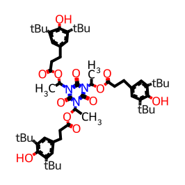 CC(OC(=O)CCc1cc(C(C)(C)C)c(O)c(C(C)(C)C)c1)n1c(=O)n(C(C)OC(=O)CCc2cc(C(C)(C)C)c(O)c(C(C)(C)C)c2)c(=O)n(C(C)OC(=O)CCc2cc(C(C)(C)C)c(O)c(C(C)(C)C)c2)c1=O